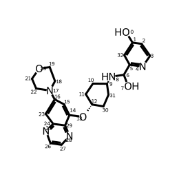 Oc1ccnc(C(O)N[C@H]2CC[C@@H](Oc3cc(N4CCOCC4)cc4nccnc34)CC2)c1